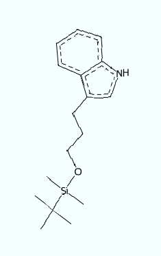 CC(C)(C)[Si](C)(C)OCCCc1c[nH]c2ccccc12